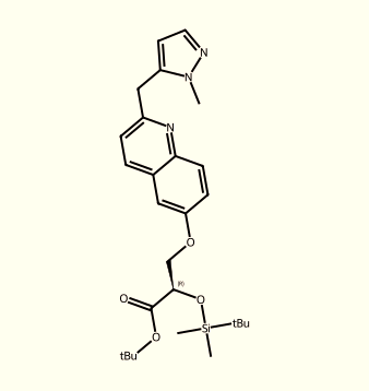 Cn1nccc1Cc1ccc2cc(OC[C@@H](O[Si](C)(C)C(C)(C)C)C(=O)OC(C)(C)C)ccc2n1